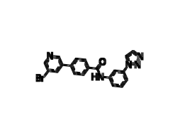 O=C(Nc1cccc(-n2ccnn2)c1)c1ccc(-c2cncc(Br)c2)cc1